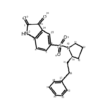 O=C1Nc2ccc(S(=O)(=O)N3CCC[C@H]3CCc3ccccc3)cc2C1=O